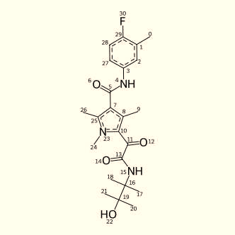 Cc1cc(NC(=O)c2c(C)c(C(=O)C(=O)NC(C)(C)C(C)(C)O)n(C)c2C)ccc1F